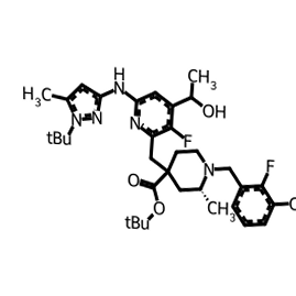 Cc1cc(Nc2cc(C(C)O)c(F)c(CC3(C(=O)OC(C)(C)C)CCN(Cc4cccc(Cl)c4F)[C@H](C)C3)n2)nn1C(C)(C)C